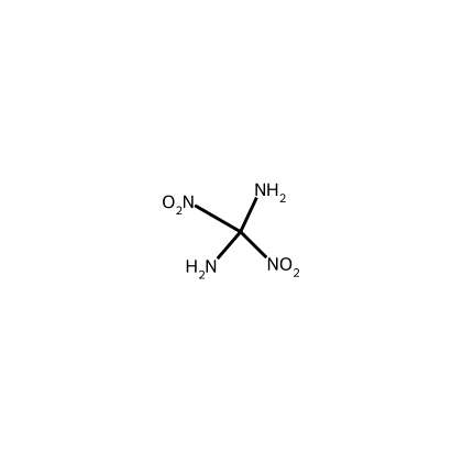 NC(N)([N+](=O)[O-])[N+](=O)[O-]